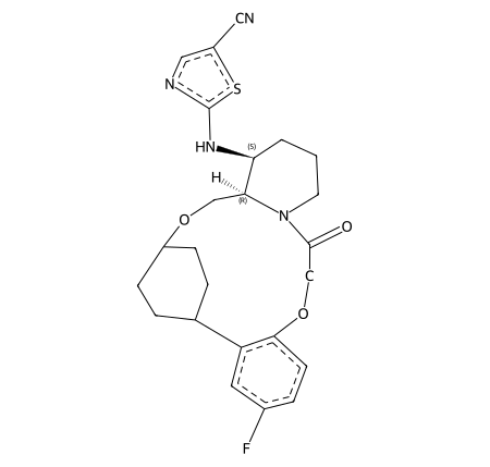 N#Cc1cnc(N[C@H]2CCCN3C(=O)COc4ccc(F)cc4C4CCC(CC4)OC[C@@H]23)s1